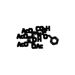 CC(=O)O[C@H]1O[C@H]([C@H](OC(C)=O)[C@@H](NC(=O)OCc2ccccc2)C(=O)O)[C@@H](OC(C)=O)[C@H]1OC(C)=O